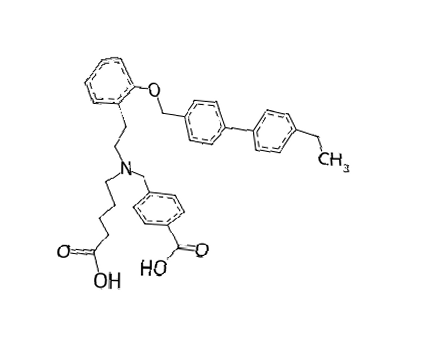 CCc1ccc(-c2ccc(COc3ccccc3CCN(CCCCC(=O)O)Cc3ccc(C(=O)O)cc3)cc2)cc1